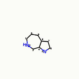 C1CNCC2[N]CCC2C1